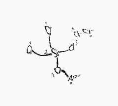 [Al+2][O][Si](Cl)(Cl)Cl.[Cl-].[Cl-]